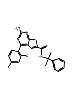 Cc1ccc(-c2nc(N)nc3sc(C(=O)NC(C)(C)c4ccccc4)cc23)c(Cl)c1